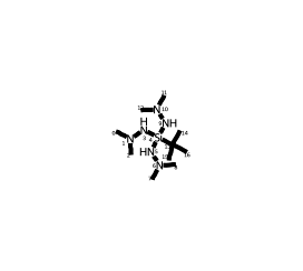 CN(C)N[Si](NN(C)C)(NN(C)C)C(C)(C)C